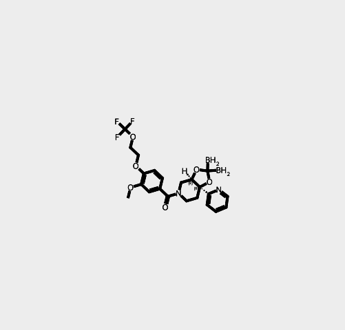 BC1(B)O[C@@H]2CN(C(=O)c3ccc(OCCOC(F)(F)F)c(OC)c3)CC[C@]2(c2ccccn2)O1